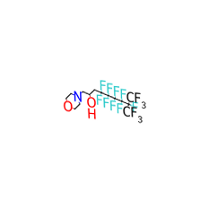 OC(CN1CCOCC1)CC(F)(F)C(F)(F)C(F)(F)C(F)(F)C(F)(C(F)(F)F)C(F)(F)F